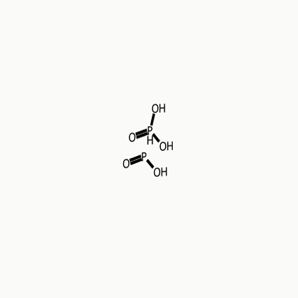 O=PO.O=[PH](O)O